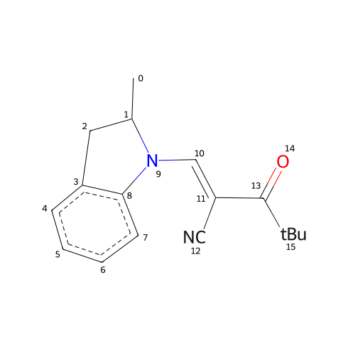 CC1Cc2ccccc2N1C=C(C#N)C(=O)C(C)(C)C